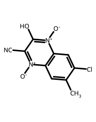 Cc1cc2c(cc1Cl)[n+]([O-])c(O)c(C#N)[n+]2[O-]